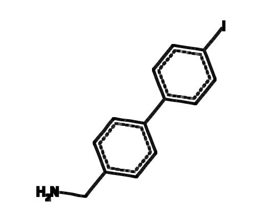 NCc1ccc(-c2ccc(I)cc2)cc1